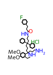 COc1cc2c(cc1OC)C(CCCN)(CCCC(CCCNC(=O)CCc1ccc(F)cc1)(c1ccccc1)c1ccccc1)NCC2.Cl